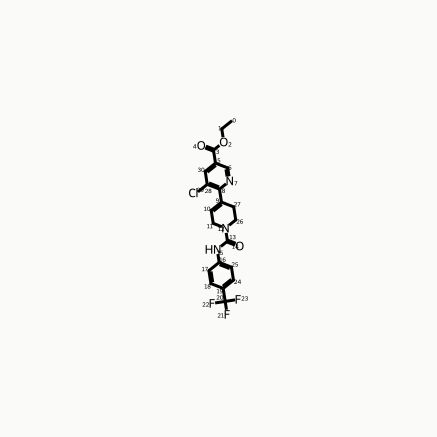 CCOC(=O)c1cnc(C2=CCN(C(=O)Nc3ccc(C(F)(F)F)cc3)CC2)c(Cl)c1